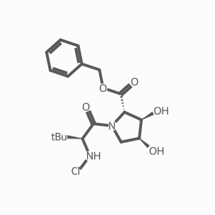 CC(C)(C)[C@H](NCl)C(=O)N1C[C@H](O)[C@H](O)[C@H]1C(=O)OCc1ccccc1